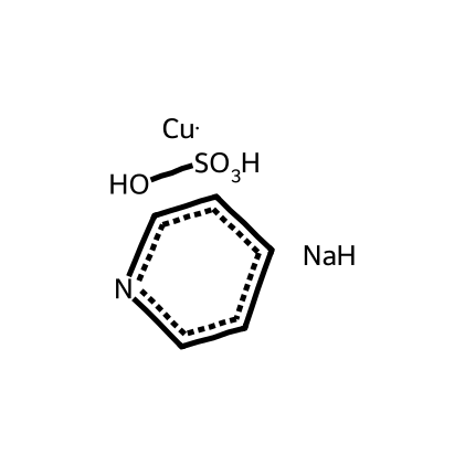 O=S(=O)(O)O.[Cu].[NaH].c1ccncc1